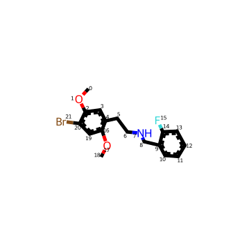 COc1cc(CCNCc2ccccc2F)c(OC)cc1Br